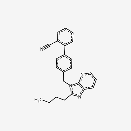 CCCCc1nc2cccnc2n1Cc1ccc(-c2ccccc2C#N)cc1